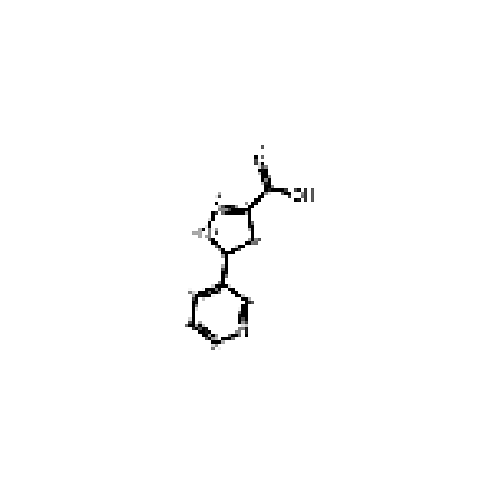 O=C(O)C1=NNC(c2cccnc2)C1